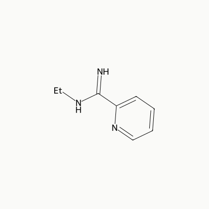 CCNC(=N)c1ccccn1